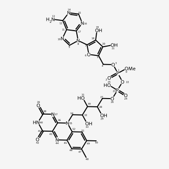 COP(=O)(OCc1oc(-n2cnc3c(N)ncnc32)c(O)c1O)OP(=O)(O)OCC(O)C(O)C(O)Cn1c2nc(=O)[nH]c(=O)c-2nc2cc(C)c(C)cc21